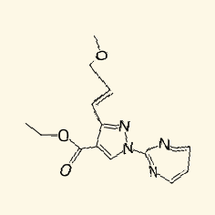 CCOC(=O)c1cn(-c2ncccn2)nc1/C=C/COC